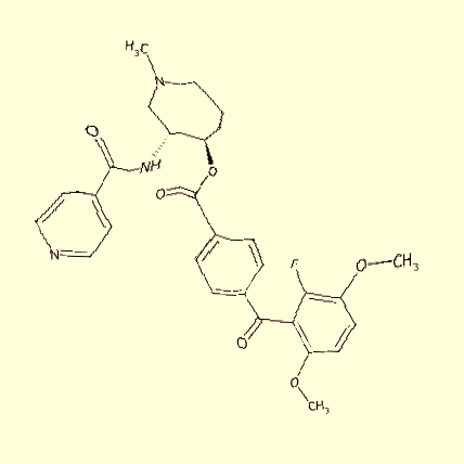 COc1ccc(OC)c(C(=O)c2ccc(C(=O)O[C@@H]3CCN(C)C[C@H]3NC(=O)c3ccncc3)cc2)c1F